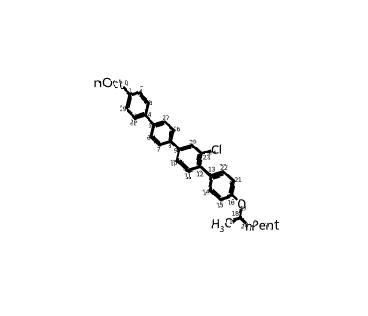 CCCCCCCCc1ccc(-c2ccc(-c3ccc(-c4ccc(OC(C)CCCCC)cc4)c(Cl)c3)cc2)cc1